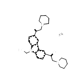 CCn1c2ccc(C(=O)CN3CCCCC3)cc2c2cc(C(=O)CN3CCCCC3)ccc21.Cl.Cl